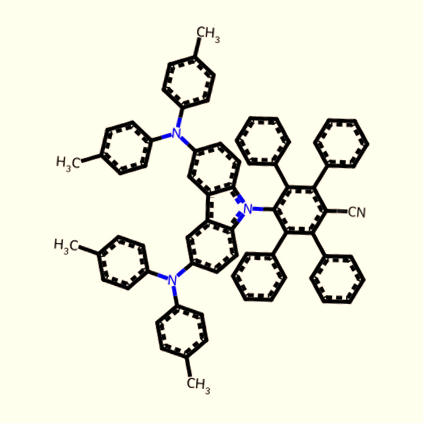 Cc1ccc(N(c2ccc(C)cc2)c2ccc3c(c2)c2cc(N(c4ccc(C)cc4)c4ccc(C)cc4)ccc2n3-c2c(-c3ccccc3)c(-c3ccccc3)c(C#N)c(-c3ccccc3)c2-c2ccccc2)cc1